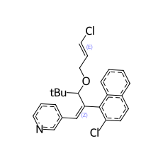 CC(C)(C)C(OC/C=C/Cl)/C(=C\c1cccnc1)c1c(Cl)ccc2ccccc12